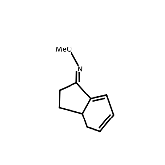 CON=C1CCC2CC=CC=C12